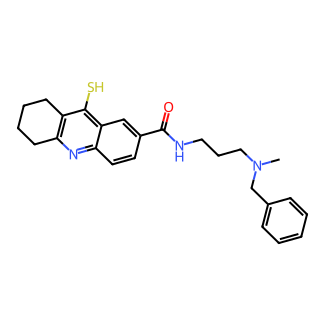 CN(CCCNC(=O)c1ccc2nc3c(c(S)c2c1)CCCC3)Cc1ccccc1